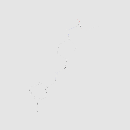 CC(C)(C)OC(=O)NC1CCC(C(=O)NCc2cccc([N+](=O)[O-])c2)CC1